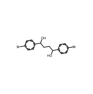 OC(CCC(O)c1ccc(Br)cc1)c1ccc(Br)cc1